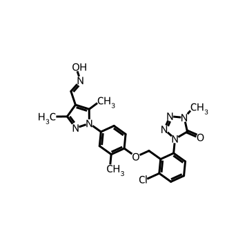 Cc1cc(-n2nc(C)c(/C=N/O)c2C)ccc1OCc1c(Cl)cccc1-n1nnn(C)c1=O